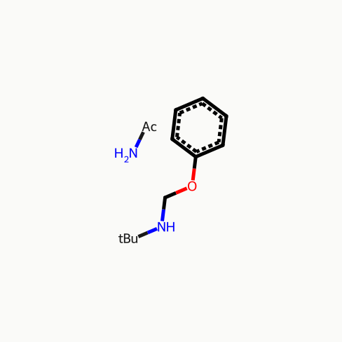 CC(C)(C)NCOc1ccccc1.CC(N)=O